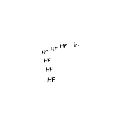 F.F.F.F.F.F.[Ir]